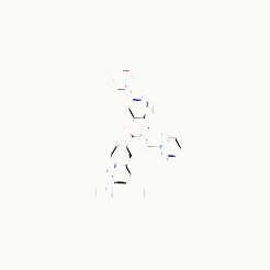 Cc1cc2cc(C(=O)N(Cc3ccc(N4CCOCC4)nn3)[C@H](C)c3ncccn3)ccc2nc1N